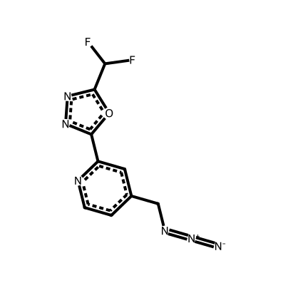 [N-]=[N+]=NCc1ccnc(-c2nnc(C(F)F)o2)c1